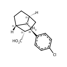 CN1[C@H]2CC[C@H]1[C@@H](C(=O)O)[C@H](c1ccc(Cl)cc1)C2